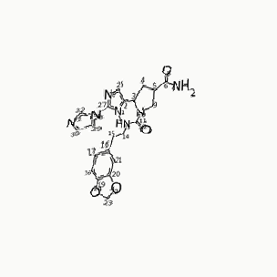 Cn1c(C2CC(C(N)=O)CN2C(=O)NCCc2ccc3c(c2)OCO3)cnc1-n1ccnc1